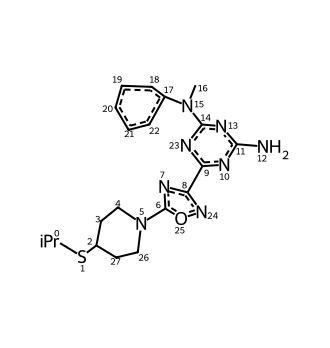 CC(C)SC1CCN(c2nc(-c3nc(N)nc(N(C)c4ccccc4)n3)no2)CC1